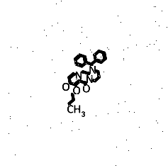 CCCCOc1c2n(ccc1=O)CC1N(CCCN1C(C1=CC=CCC1)c1ccccc1)C2=O